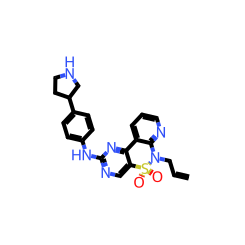 C=CCN1c2ncccc2-c2nc(Nc3ccc(C4CCNC4)cc3)ncc2S1(=O)=O